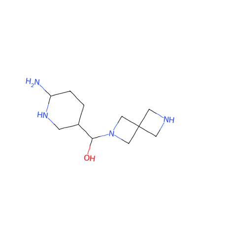 NC1CCC(C(O)N2CC3(CNC3)C2)CN1